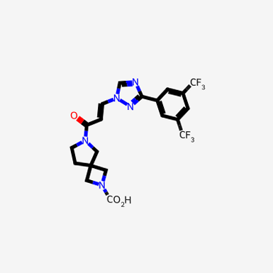 O=C(O)N1CC2(CCN(C(=O)C=Cn3cnc(-c4cc(C(F)(F)F)cc(C(F)(F)F)c4)n3)C2)C1